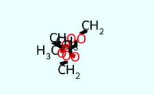 C=CCOC(=O)CC(OC(=O)C(C)(C)CC)C(=O)OCC=C